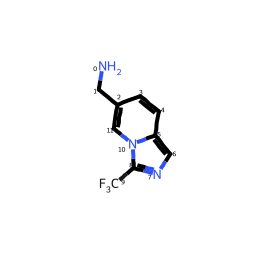 NCc1ccc2cnc(C(F)(F)F)n2c1